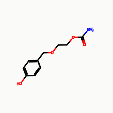 NC(=O)OCCOCc1ccc(O)cc1